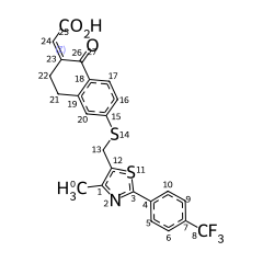 Cc1nc(-c2ccc(C(F)(F)F)cc2)sc1CSc1ccc2c(c1)CC/C(=C/C(=O)O)C2=O